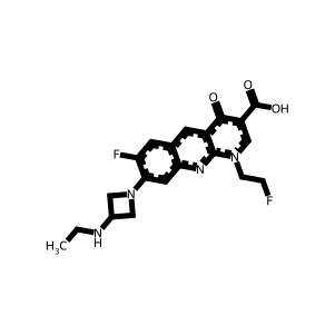 CCNC1CN(c2cc3nc4c(cc3cc2F)c(=O)c(C(=O)O)cn4CCF)C1